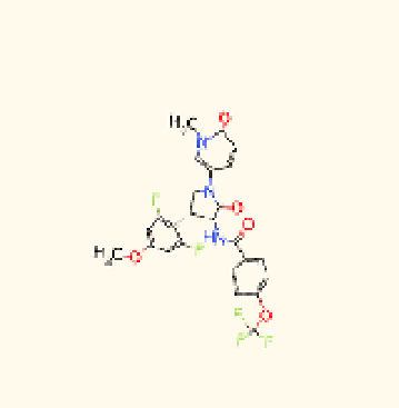 COc1cc(F)c([C@@H]2CN(c3ccc(=O)n(C)c3)C(=O)[C@H]2NC(=O)c2ccc(OC(F)(F)F)cc2)c(F)c1